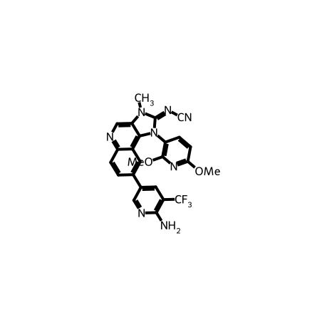 COc1ccc(-n2c(=NC#N)n(C)c3cnc4ccc(-c5cnc(N)c(C(F)(F)F)c5)cc4c32)c(OC)n1